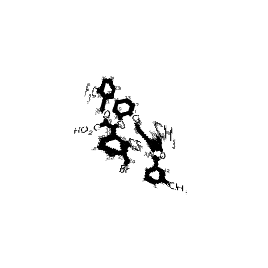 Cc1cccc(-c2nc(COC3CCCCC3OC(c3cccc(CBr)c3C(F)(F)F)C(OCc3ccccc3C(F)(F)F)C(=O)O)c(C)o2)c1